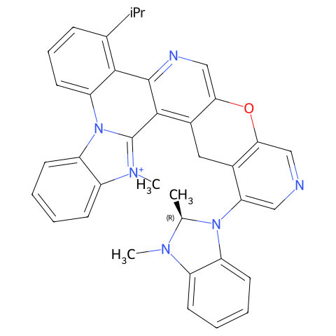 CC(C)c1cccc2c1c1ncc3c(c1c1n2c2ccccc2[n+]1C)Cc1c(cncc1N1c2ccccc2N(C)[C@H]1C)O3